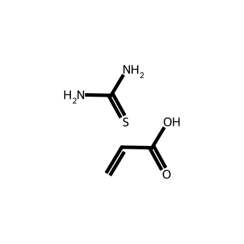 C=CC(=O)O.NC(N)=S